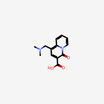 CN(C)Cc1cc(C(=O)O)c(=O)n2ccccc12